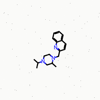 CC(C)N1CCN(Cc2ccc3ccccc3n2)C(C)C1